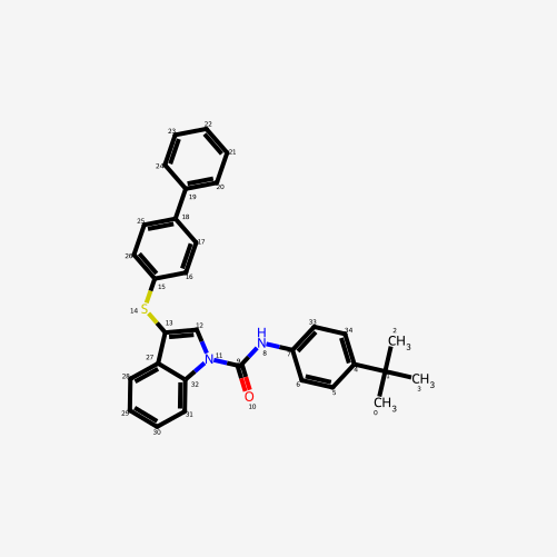 CC(C)(C)c1ccc(NC(=O)n2cc(Sc3ccc(-c4ccccc4)cc3)c3ccccc32)cc1